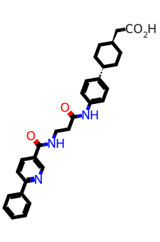 O=C(O)C[C@H]1CC[C@H](c2ccc(NC(=O)CCNC(=O)c3ccc(-c4ccccc4)nc3)cc2)CC1